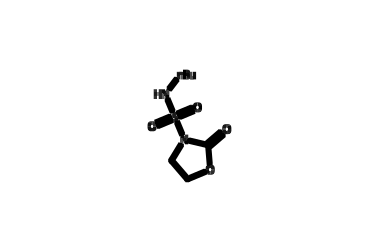 CCCCNS(=O)(=O)N1CCOC1=O